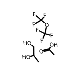 CC(=O)O.CC(O)CO.FC(F)(F)OC(F)(F)F